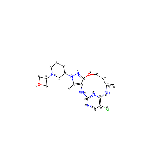 Cc1c2c(nn1C1CCCN(C3COC3)C1)OCC[C@@H](C)Nc1nc(ncc1Cl)N2